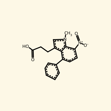 Cn1cc(CCC(=O)O)c2c(-c3ccccc3)ccc([N+](=O)[O-])c21